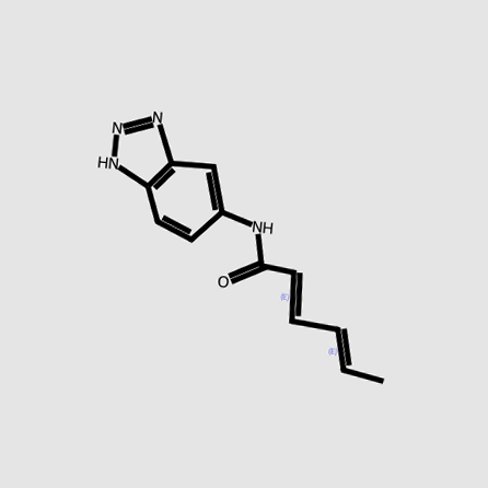 C/C=C/C=C/C(=O)Nc1ccc2[nH]nnc2c1